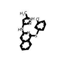 Cc1cc(Nc2cc3ccccc3c(Sc3cccc(Cl)c3)n2)n[nH]1